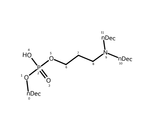 CCCCCCCCCCOP(=O)(O)OCCCN(CCCCCCCCCC)CCCCCCCCCC